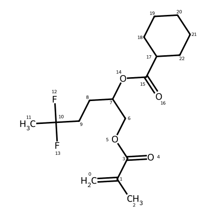 C=C(C)C(=O)OCC(CCC(C)(F)F)OC(=O)C1CCCCC1